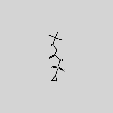 CC(C)(C)NCC(=O)NS(=O)(=O)C1CC1